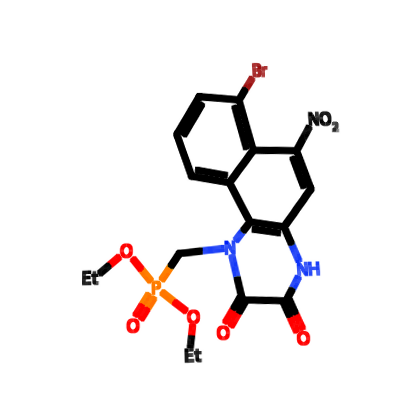 CCOP(=O)(Cn1c(=O)c(=O)[nH]c2cc([N+](=O)[O-])c3c(Br)cccc3c21)OCC